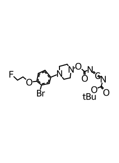 CC(C)(C)OC(=O)N=C=NC(=O)ON1CCN(c2ccc(OCCF)c(Br)c2)CC1